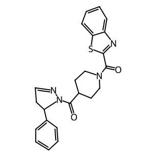 O=C(c1nc2ccccc2s1)N1CCC(C(=O)N2N=CCC2c2ccccc2)CC1